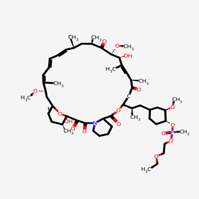 CCOCCOP(C)(=O)O[C@@H]1CCC(C[C@@H](C)C2CC(=O)[C@H](C)/C=C(\C)[C@@H](O)[C@@H](OC)C(=O)[C@H](C)C[C@H](C)/C=C/C=C/C=C(\C)[C@@H](OC)C[C@@H]3CC[C@@H](C)[C@@](O)(O3)C(=O)C(=O)N3CCCCC3C(=O)O2)C[C@H]1OC